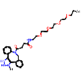 CCN1NNC2=C1c1ccccc1CN(C(=O)CCC(=O)NCCOCCOCCOCCOCCC(C)=O)c1ccccc12